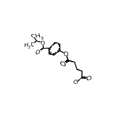 CC(C)OC(=O)c1ccc(OC(=O)CCCC(=O)Cl)cc1